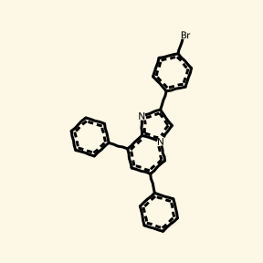 Brc1ccc(-c2cn3cc(-c4ccccc4)cc(-c4ccccc4)c3n2)cc1